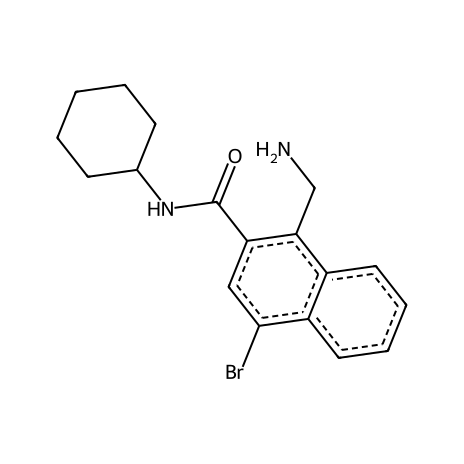 NCc1c(C(=O)NC2CCCCC2)cc(Br)c2ccccc12